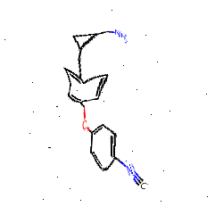 [C-]#[N+]c1ccc(Oc2ccc(C3CC3N)cc2)cc1